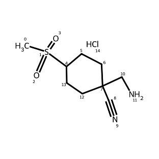 CS(=O)(=O)C1CCC(C#N)(CN)CC1.Cl